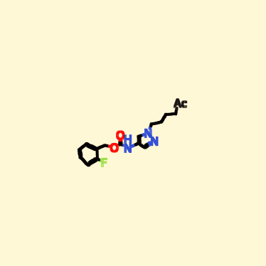 CC(=O)CCCCn1cc(NC(=O)OCc2ccccc2F)cn1